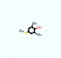 CC(C)Sc1cc(C(C)(C)C)c(O)c(C(C)(C)C)c1